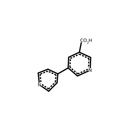 O=C(O)c1cncc(-c2ccncc2)c1